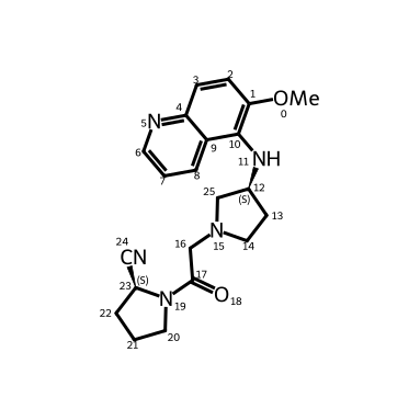 COc1ccc2ncccc2c1N[C@H]1CCN(CC(=O)N2CCC[C@H]2C#N)C1